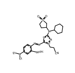 CCN(CC)c1ccc(N=Nc2sc(N(C3CCCCC3)C3CCS(=O)(=O)C3)n[n+]2CCC#N)c(NC(C)=O)c1